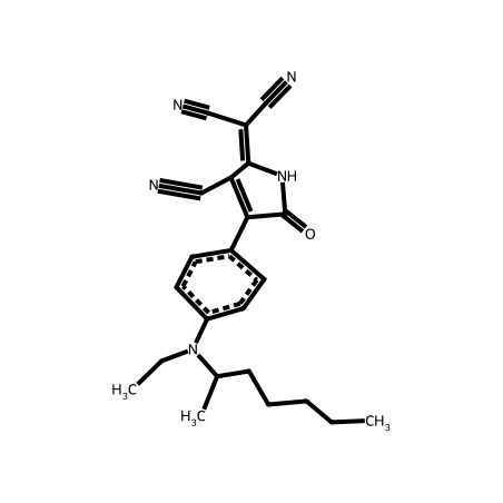 CCCCCC(C)N(CC)c1ccc(C2=C(C#N)C(=C(C#N)C#N)NC2=O)cc1